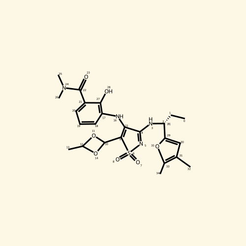 CC[C@@H](NC1=NS(=O)(=O)C(C2OC(C)O2)=C1Nc1cccc(C(=O)N(C)C)c1O)c1cc(C)c(C)o1